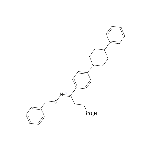 O=C(O)CC/C(=N\OCc1ccccc1)c1ccc(N2CCC(c3ccccc3)CC2)cc1